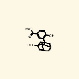 COC(=O)c1ccc(O)c(C23CC4CC(CC(C=O)(C4)C2)C3)c1